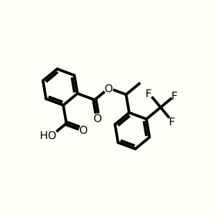 CC(OC(=O)c1ccccc1C(=O)O)c1ccccc1C(F)(F)F